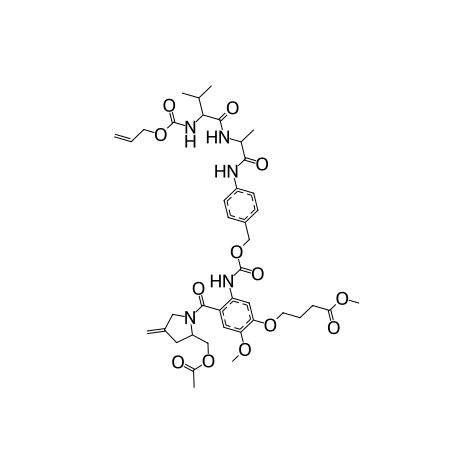 C=CCOC(=O)NC(C(=O)NC(C)C(=O)Nc1ccc(COC(=O)Nc2cc(OCCCC(=O)OC)c(OC)cc2C(=O)N2CC(=C)CC2COC(C)=O)cc1)C(C)C